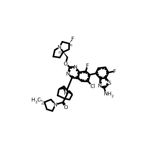 C[C@H]1CCN(C(=O)C23CC4CC2C(CN(c2nc(OC[C@@]56CCCN5C[C@H](F)C6)nc5c(F)c(-c6ccc(F)c7sc(N)nc67)c(Cl)cc25)C4)C3)C1